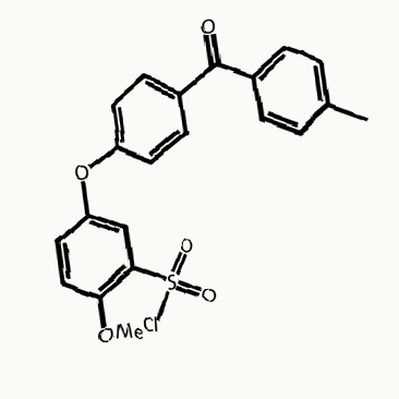 COc1ccc(Oc2ccc(C(=O)c3ccc(C)cc3)cc2)cc1S(=O)(=O)Cl